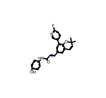 CC1(C)C=Cc2cc(/C=C/C(=O)Nc3ccc(O)cc3)cc(-c3ccc(F)nc3)c2O1